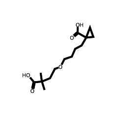 CC(C)(CCOCCCCC1(C(=O)O)CC1)C(=O)O